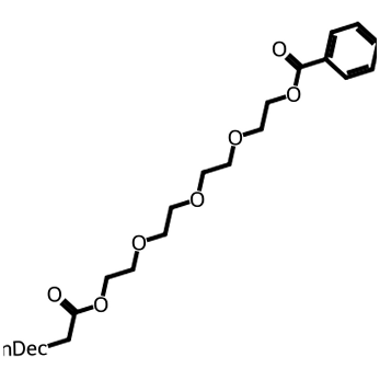 CCCCCCCCCCCC(=O)OCCOCCOCCOCCOC(=O)c1ccccc1